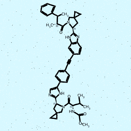 COC(=O)N[C@H](C(=O)N1CC2(CC2)C[C@H]1c1ncc(-c2ccc(C#Cc3ccc4nc([C@@H]5CC6(CC6)CN5C(=O)[C@H](C)C(C)c5ccccc5)[nH]c4c3)cc2)[nH]1)C(C)C